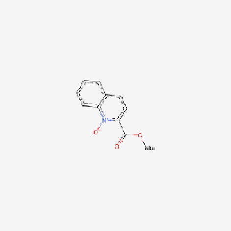 CCCCOC(=O)c1ccc2ccccc2[n+]1[O-]